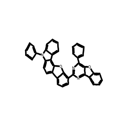 c1ccc(-c2nc(-c3cccc4c3oc3c4ccc4c3c3ccccc3n4-c3ccccc3)nc3c2oc2ccccc23)cc1